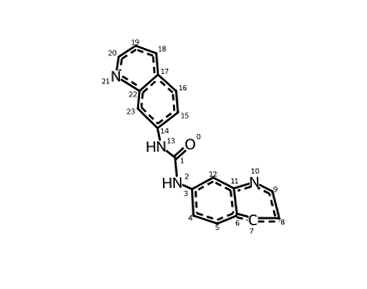 O=C(Nc1ccc2cccnc2c1)Nc1ccc2cccnc2c1